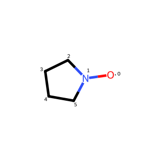 [O]N1CCCC1